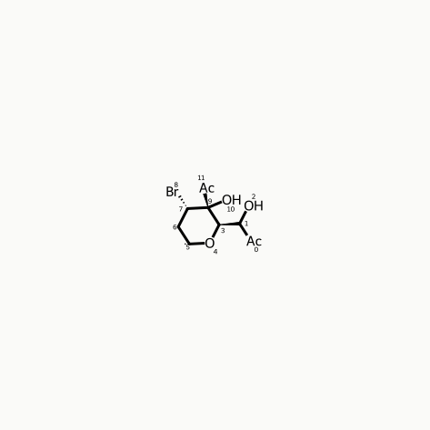 CC(=O)C(O)[C@H]1O[CH]C[C@H](Br)[C@@]1(O)C(C)=O